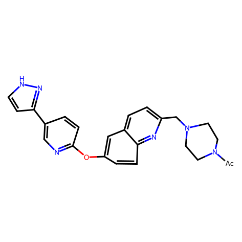 CC(=O)N1CCN(Cc2ccc3cc(Oc4ccc(-c5cc[nH]n5)cn4)ccc3n2)CC1